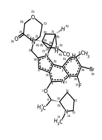 Cc1cc2c(nc(OC(C)[C@@H]3CCCN3C)c3cc(CN4CCOCC4=O)n([C@H]4[C@@H]5C[C@H]4N(C(=O)O)C5)c32)c(F)c1Br